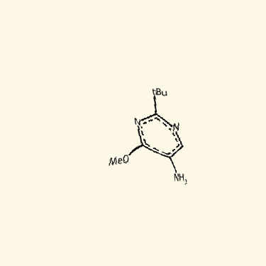 COc1nc(C(C)(C)C)ncc1N